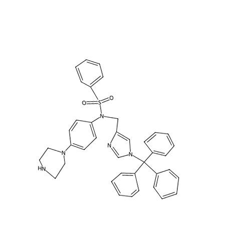 O=S(=O)(c1ccccc1)N(Cc1cn(C(c2ccccc2)(c2ccccc2)c2ccccc2)cn1)c1ccc(N2CCNCC2)cc1